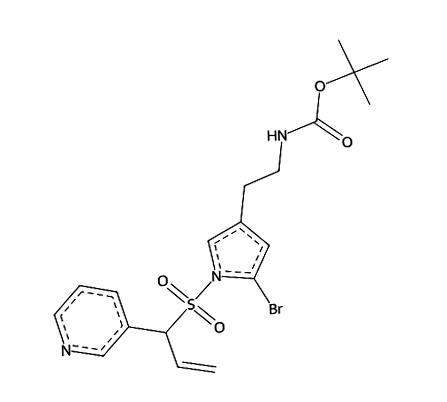 C=CC(c1cccnc1)S(=O)(=O)n1cc(CCNC(=O)OC(C)(C)C)cc1Br